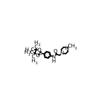 CN1CCN(CC(=O)Nc2ccc(B3OC(C)(C)C(C)(C)O3)cc2)CC1